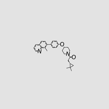 Cc1c(-c2ccc(OC3CCN(C(=O)C[C@H]4CC4(C)C)CC3)cc2)ccc2cccnc12